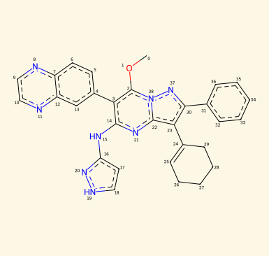 COc1c(-c2ccc3nccnc3c2)c(Nc2cc[nH]n2)nc2c(C3=CCCCC3)c(-c3ccccc3)nn12